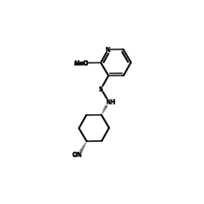 COc1ncccc1SN[C@H]1CC[C@@H](N=O)CC1